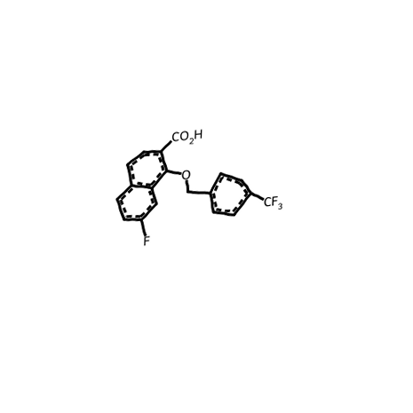 O=C(O)c1ccc2ccc(F)cc2c1OCc1ccc(C(F)(F)F)cc1